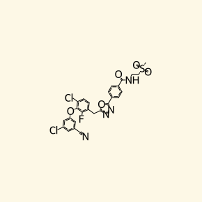 CS(=O)(=O)CCNC(=O)c1ccc(-c2nnc(Cc3ccc(Cl)c(Oc4cc(Cl)cc(C#N)c4)c3F)o2)cc1